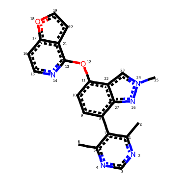 Cc1ncnc(C)c1-c1ccc(Oc2nccc3occc23)c2cn(C)nc12